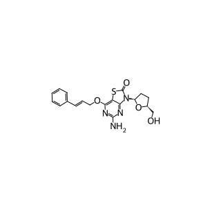 Nc1nc(OC/C=C/c2ccccc2)c2sc(=O)n([C@H]3CC[C@@H](CO)O3)c2n1